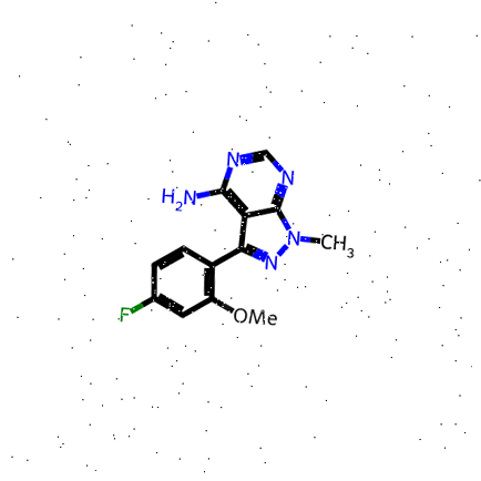 COc1cc(F)ccc1-c1nn(C)c2ncnc(N)c12